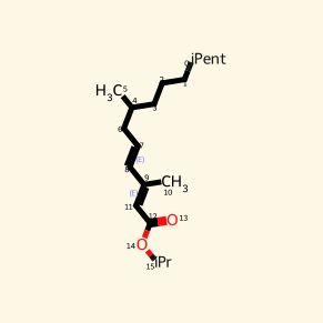 CCCC(C)CCCC(C)C/C=C/C(C)=C/C(=O)OC(C)C